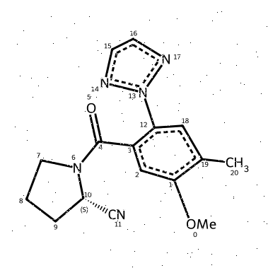 COc1cc(C(=O)N2CCC[C@H]2C#N)c(-n2nccn2)cc1C